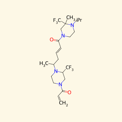 C=CC(=O)N1CCN(C(C)C/C=C/C(=O)N2CCN(C(C)C)C(C)(C(F)(F)F)C2)C(C(F)(F)F)C1